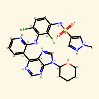 Cn1cc(S(=O)(=O)Nc2ccc(F)c(Nc3ncccc3-c3ncnc4c3ncn4C3CCCCO3)c2F)cn1